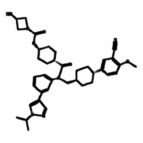 COc1ccc([C@H]2CC[C@H](CN(c3cccc(-c4cnn(C(C)C)c4)c3)C(=O)[C@H]3CC[C@H](OC(=O)N4CC(O)C4)CC3)CC2)cc1C#N